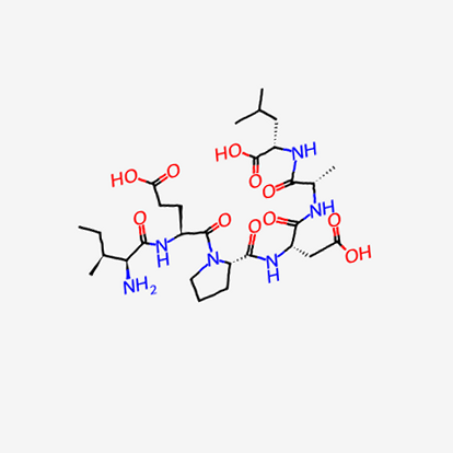 CC[C@H](C)[C@H](N)C(=O)N[C@@H](CCC(=O)O)C(=O)N1CCC[C@H]1C(=O)N[C@@H](CC(=O)O)C(=O)N[C@@H](C)C(=O)N[C@@H](CC(C)C)C(=O)O